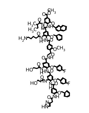 CCC(C)C(=O)Nc1cc(C(=O)OC)cc(OCc2ccc3ccccc3c2)c1NC(=O)c1cc(NC(=O)CCCCN)c(NC(=O)c2ccc(C(=O)CNC(=O)c3cc(NC(=O)CCO)c(NC(=O)c4cc(NC(=O)CCO)c(NC(=O)c5ccc(NC(=O)Cc6c[nH]cn6)c(OCc6ccccc6)c5)c(OCc5ccc(F)cc5)c4)c(OCc4ccc(F)cc4)c3)c(OC)c2)c(OCc2ccccc2)c1